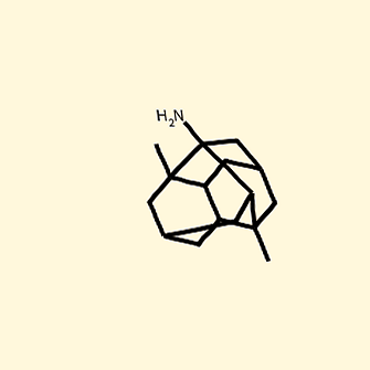 CC12CC3CC4C1CC1CC2C(N)(C3)C4(C)C1